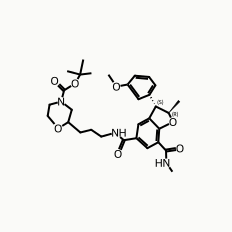 CNC(=O)c1cc(C(=O)NCCCC2CN(C(=O)OC(C)(C)C)CCO2)cc2c1O[C@H](C)[C@H]2c1cccc(OC)c1